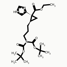 CCOC(=O)[C@@]1(c2c[nH]cn2)C[C@H]1CCCN(C(=O)OC(C)(C)C)C(=O)OC(C)(C)C